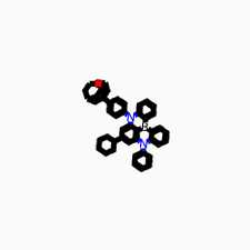 c1ccc(N2c3ccccc3B3c4ccccc4N(c4ccc(C56CCC7CC(CC(C7)C5)C6)cc4)c4cc(C5CCCCC5)cc2c43)cc1